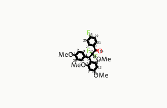 COc1ccc(C(c2c(OC)cc(OC)cc2OC)C(F)(F)C(=O)c2ccc(F)cc2)cc1